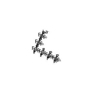 F[B-](F)(F)F.F[B-](F)(F)F.F[B-](F)(F)F.F[B-](F)(F)F.F[B-](F)(F)F.F[B-](F)(F)F.[La]